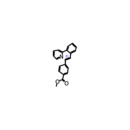 COC(=O)c1ccc(/C=C/c2ccccc2-c2ccccn2)cc1